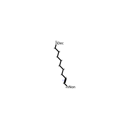 [CH2]CCCCCCCC/C=C/CCCCCCCCCCCCCCCC[CH2]